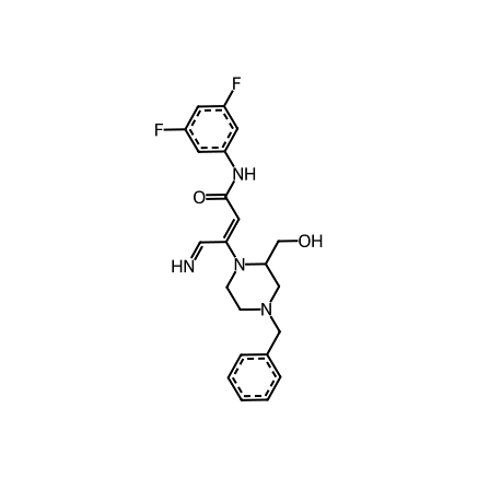 N=C/C(=C\C(=O)Nc1cc(F)cc(F)c1)N1CCN(Cc2ccccc2)CC1CO